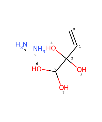 C=CC(O)(O)C(O)O.N.N